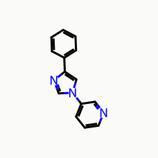 c1ccc(-c2cn(-c3cccnc3)cn2)cc1